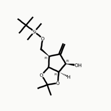 C=C1[C@@H](O)[C@H]2OC(C)(C)OC2[C@H]1CO[Si](C)(C)C(C)(C)C